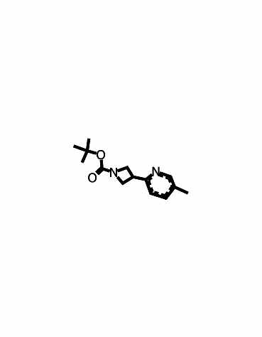 Cc1ccc(C2CN(C(=O)OC(C)(C)C)C2)nc1